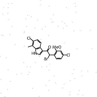 COc1cc(Cl)ccc1C(Br)C(=O)c1c[nH]c2c(C)c(Cl)ccc12